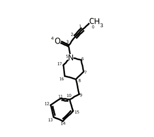 CC#CC(=O)N1CCC(Cc2ccccc2)CC1